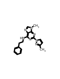 Cc1ccn(-c2nc(NCCc3ccccc3)c3ncn(C)c3n2)n1